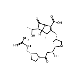 C[C@@H](O)[C@H]1C(=O)N2C(C(=O)O)=C(S[C@@H]3CN[C@H]([C@@H](O)CC(=O)N4CC[C@H](CNC(=N)N)C4)C3)[C@H](C)[C@H]12